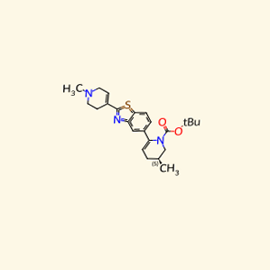 C[C@H]1CC=C(c2ccc3sc(C4=CCN(C)CC4)nc3c2)N(C(=O)OC(C)(C)C)C1